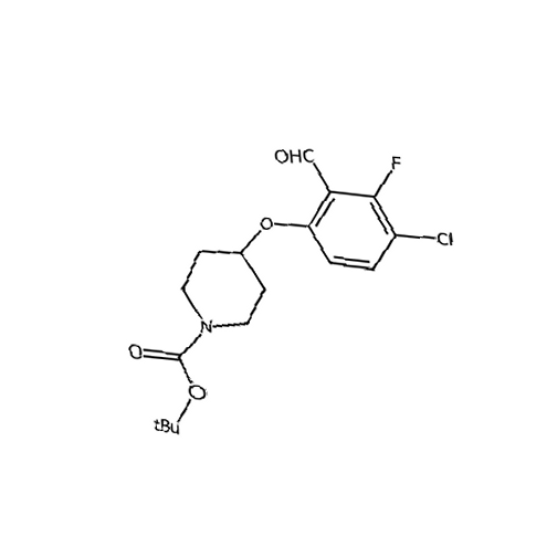 CC(C)(C)OC(=O)N1CCC(Oc2ccc(Cl)c(F)c2C=O)CC1